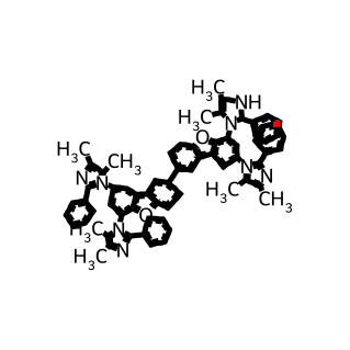 CC1=C(C)N(c2cc(-n3c(-c4ccccc4)nc(C)c3C)cc3c2oc2ccc(-c4ccc5oc6c(-n7c(-c8ccccc8)nc(C)c7C)cc(-n7c(-c8ccccc8)nc(C)c7C)cc6c5c4)cc23)C(c2ccccc2)N1